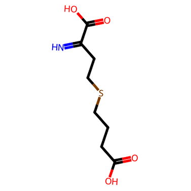 N=C(CCSCCCC(=O)O)C(=O)O